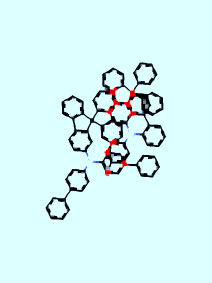 Cc1ccc(N(c2ccc3c(c2)C(c2ccccc2)(c2ccccc2)c2ccccc2-3)c2ccccc2-c2cccc(-c3cccc(C4(c5ccccc5)c5ccccc5-c5ccc(N(c6ccc(-c7ccccc7)cc6)c6ccc(-c7ccccc7)cc6)cc54)c3)c2)cc1